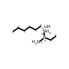 CCCCCC.CCN([SiH3])[SiH3].[LiH]